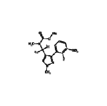 [2H]C([2H])(c1cn(C)nc1-c1cccc([N+](=O)[O-])c1F)N(C)C(=O)OC(C)(C)C